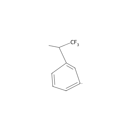 CC(c1c[c]ccc1)C(F)(F)F